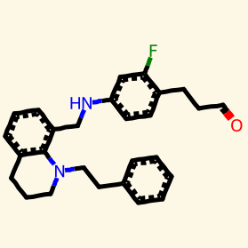 O=CCCc1ccc(NCc2cccc3c2N(CCc2ccccc2)CCC3)cc1F